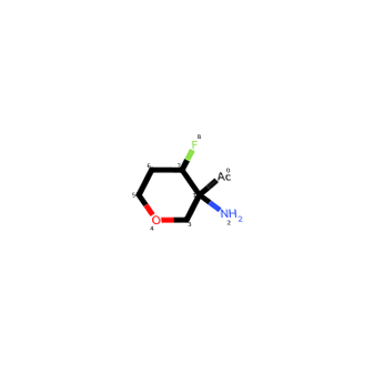 CC(=O)C1(N)COCCC1F